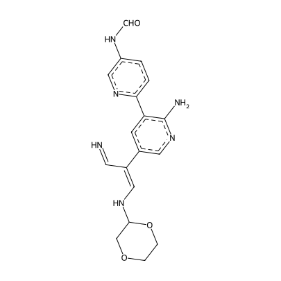 N=C/C(=C\NC1COCCO1)c1cnc(N)c(-c2ccc(NC=O)cn2)c1